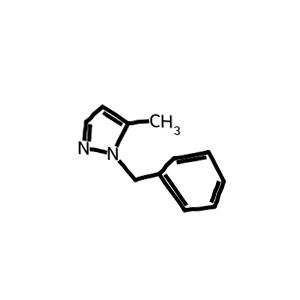 Cc1ccnn1Cc1ccccc1